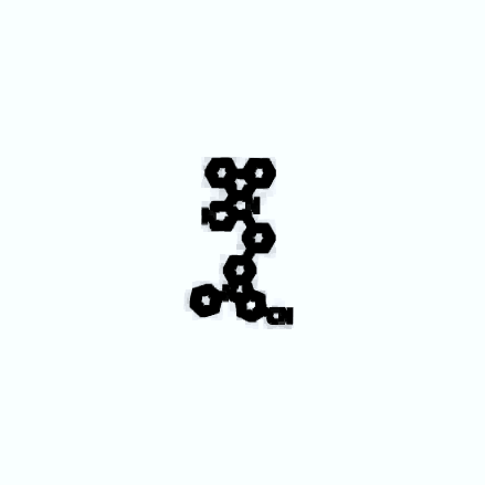 N#Cc1ccc2c(c1)c1cc(-c3cccc(-c4nc5c6ccccc6c6ccccc6c5c5cnccc45)c3)ccc1n2-c1ccccc1